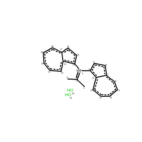 C[C](C)=[Hf]([c]1ccc2cccccc1-2)[c]1ccc2cccccc1-2.Cl.Cl